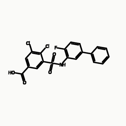 O=C(O)c1cc(Cl)c(Cl)c(S(=O)(=O)Nc2cc(-c3ccccc3)ccc2F)c1